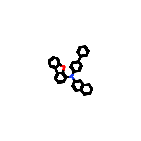 C1=Cc2ccc(N(c3ccc(-c4ccccc4)cc3)c3cccc4c3oc3ccccc34)cc2CC1